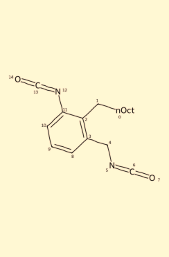 CCCCCCCCCc1c(CN=C=O)cccc1N=C=O